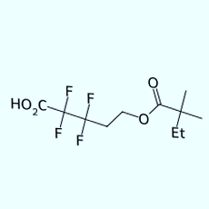 CCC(C)(C)C(=O)OCCC(F)(F)C(F)(F)C(=O)O